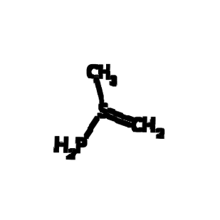 C=S(C)P